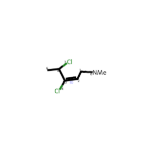 CNC/C=C(/Cl)C(C)Cl